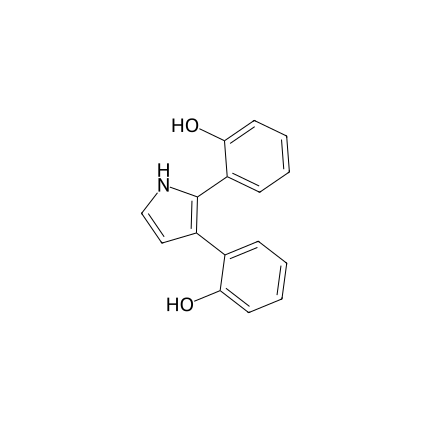 Oc1ccccc1-c1cc[nH]c1-c1ccccc1O